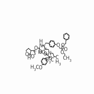 CCOP(=O)(COc1ccc(C[C@H](NC(=O)O[C@H]2CO[C@H]3OCCC32)[C@H](O)CN(CC(C)C)S(=O)(=O)c2ccc(OC)cc2)cc1)OCc1ccccc1